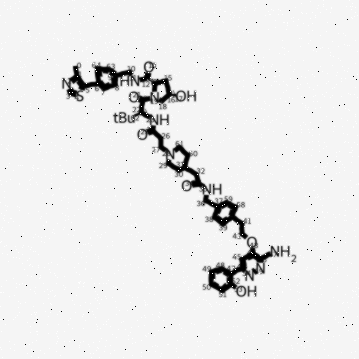 Cc1ncsc1-c1ccc(CNC(=O)[C@@H]2C[C@@H](O)CN2C(=O)[C@@H](NC(=O)CCN2CCC(CC(=O)NCc3ccc(CCOc4cc(-c5ccccc5O)nnc4N)cc3)CC2)C(C)(C)C)cc1